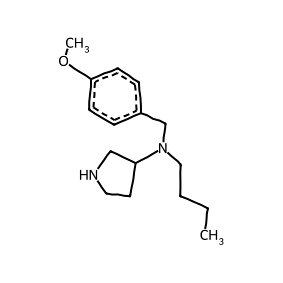 CCCCN(Cc1ccc(OC)cc1)C1CCNC1